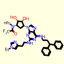 CCCN(C(=O)C(F)(F)F)[C@H]1C[C@@H](n2cnc3c(NCCC(c4ccccc4)c4ccccc4)nc(NCCc4cn(CC)cn4)nc32)[C@H](O)[C@@H]1O